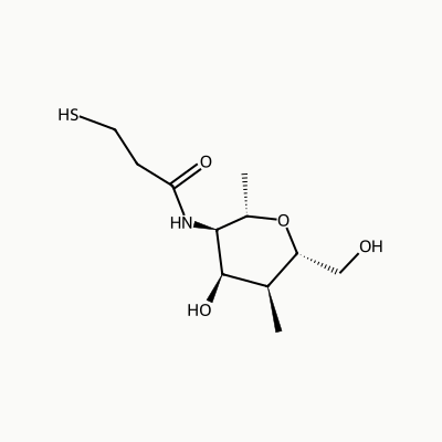 C[C@H]1[C@@H](O)[C@@H](NC(=O)CCS)[C@H](C)O[C@@H]1CO